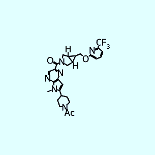 CC(=O)N1CCC(c2cc3nc(C(=O)N4C[C@@H]5C(COc6cccc(C(F)(F)F)n6)[C@@H]5C4)cnc3n2C)CC1